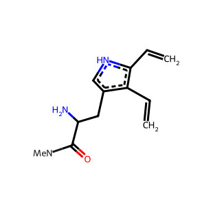 C=Cc1[nH]cc(CC(N)C(=O)NC)c1C=C